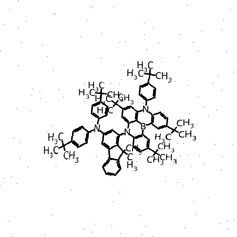 CC(C)(C)c1ccc(N(c2ccc(C(C)(C)C)cc2)c2cc3c(c(N4c5ccc(C(C)(C)C)cc5B5c6cc(C(C)(C)C)ccc6N(c6ccc(C(C)(C)C)cc6)c6cc(C(C)(C)C)cc4c65)c2)C(C)(C)c2ccccc2-3)cc1